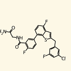 NC(=O)CNC(=O)c1cc(-c2ccc(F)c3cc(Cc4cc(F)cc(Cl)c4)sc23)ccc1F